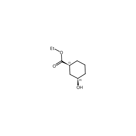 CCOC(=O)[C@H]1CCC[C@@H](O)C1